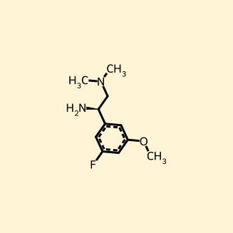 COc1cc(F)cc([C@@H](N)CN(C)C)c1